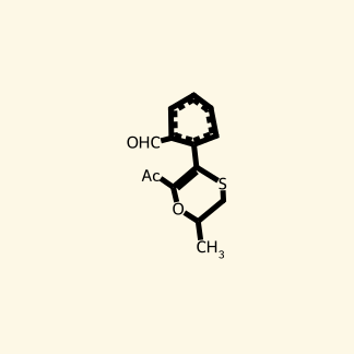 CC(=O)C1=C(c2ccccc2C=O)SCC(C)O1